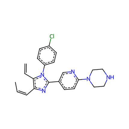 C=Cc1c(/C=C\C)nc(-c2ccc(N3CCNCC3)nc2)n1-c1ccc(Cl)cc1